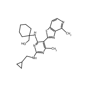 Cc1nc(NCC2CC2)nc(NC2(CO)CCCCC2)c1-c1nc2c(C)nccc2s1